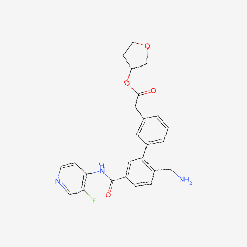 NCc1ccc(C(=O)Nc2ccncc2F)cc1-c1cccc(CC(=O)OC2CCOC2)c1